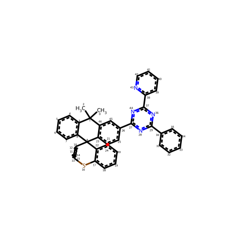 CC1(C)c2ccccc2C2(c3ccccc3Sc3ccccc32)c2ccc(-c3nc(-c4ccccc4)nc(-c4ccccn4)n3)cc21